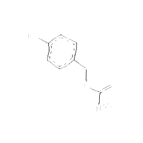 [CH2]NC(=O)OCc1ccc(O)cc1